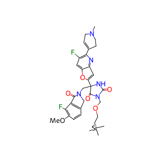 COc1ccc2c(c1F)C(=O)N(CC1(c3cc4nc(C5=CCN(C)CC5)c(F)cc4o3)NC(=O)N(COCC[Si](C)(C)C)C1=O)C2